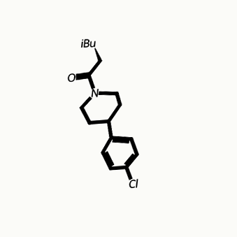 CC[C@H](C)CC(=O)N1CCC(c2ccc(Cl)cc2)CC1